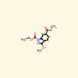 CCOC(=O)n1nc(OC)c2ccc(C(=O)OC)cc21